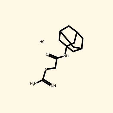 Cl.N=C(N)SCC(=O)NC12CC3CC(CC(C3)C1)C2